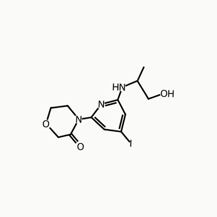 CC(CO)Nc1cc(I)cc(N2CCOCC2=O)n1